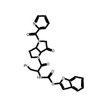 CC(C)CC(NC(=O)Oc1cc2ccccc2o1)C(=O)N1CCC2C1C(=O)CN2C(=O)c1ccccn1